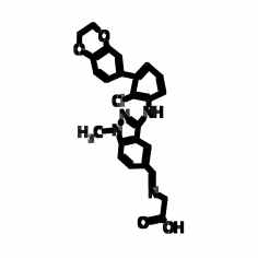 Cn1nc(Nc2cccc(-c3ccc4c(c3)OCCO4)c2Cl)c2cc(C=NCC(=O)O)ccc21